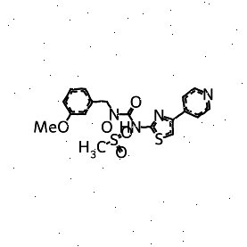 COc1cccc(CN(OS(C)(=O)=O)C(=O)Nc2nc(-c3ccncc3)cs2)c1